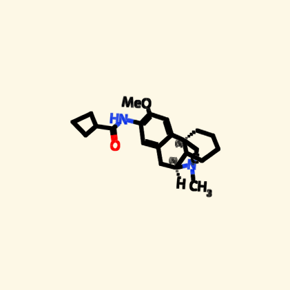 COc1cc2c(cc1NC(=O)C1CCC1)C[C@H]1C3CCCC[C@@]23CCN1C